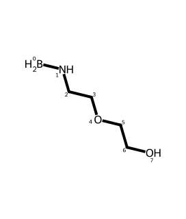 BNCCOCCO